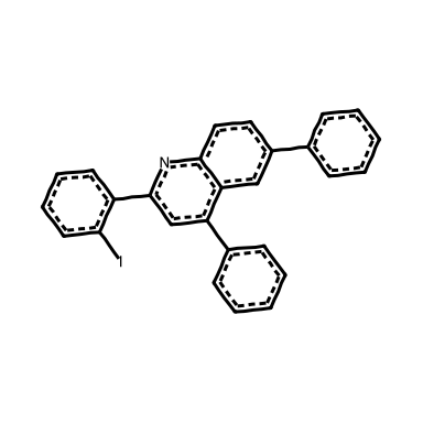 Ic1ccccc1-c1cc(-c2ccccc2)c2cc(-c3ccccc3)ccc2n1